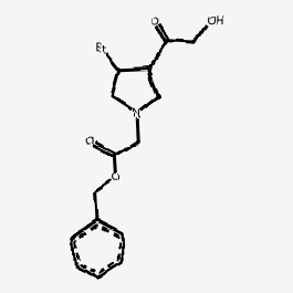 CCC1CN(CC(=O)OCc2ccccc2)CC1C(=O)CO